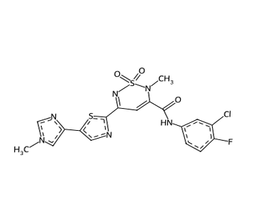 CN1C(C(=O)Nc2ccc(F)c(Cl)c2)=CC(c2ncc(-c3cn(C)cn3)s2)=NS1(=O)=O